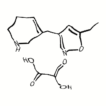 Cc1cc(C2=CCCNC2)no1.O=C(O)C(=O)O